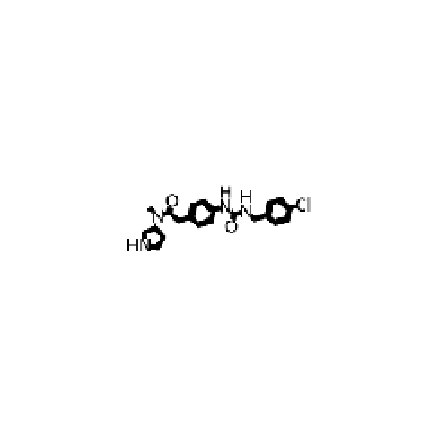 CN(C(=O)Cc1ccc(NC(=O)NCc2ccc(Cl)cc2)cc1)[C@@H]1CCNC1